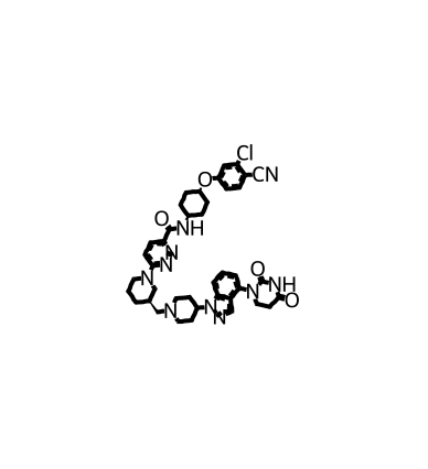 N#Cc1ccc(O[C@H]2CC[C@H](NC(=O)c3ccc(N4CCC[C@H](CN5CCC(n6ncc7c(N8CCC(=O)NC8=O)cccc76)CC5)C4)nn3)CC2)cc1Cl